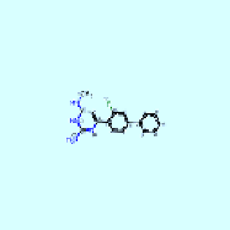 CNC1C=C(c2ccc(-c3ccccc3)cc2F)N=C(N)N1